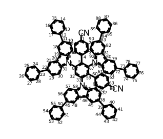 N#Cc1ccc(-c2c(-n3c4ccc(-c5ccccc5)cc4c4cc(-c5ccccc5)ccc43)cc(-n3c4ccc(-c5ccccc5)cc4c4cc(-c5ccccc5)ccc43)c(-c3ccc(C#N)cc3)c2-n2c3ccc(-c4ccccc4)cc3c3cc(-c4ccccc4)ccc32)cc1